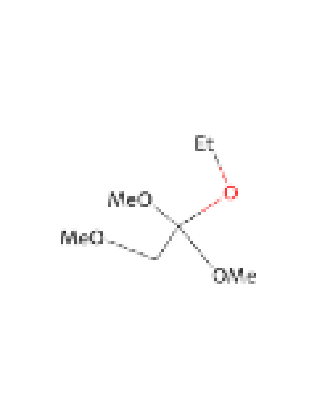 [CH2]COC(CO[CH2])(OC)OC